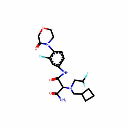 NC(=O)[C@@H](C(=O)Nc1ccc(N2CCOCC2=O)c(F)c1)N(CC(F)F)CC1CCC1